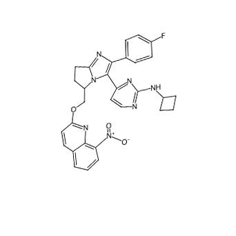 O=[N+]([O-])c1cccc2ccc(OCC3CCc4nc(-c5ccc(F)cc5)c(-c5ccnc(NC6CCC6)n5)n43)nc12